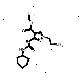 CCCn1cc(C(=O)OCC)c(NC(=S)NC2CCCCC2)n1